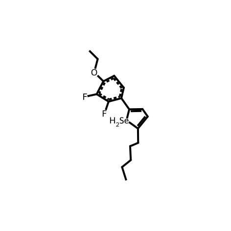 CCCCCC1=CC=C(c2ccc(OCC)c(F)c2F)[SeH2]1